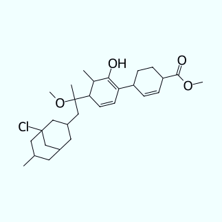 COC(=O)C1C=CC(C2=C(O)C(C)C(C(C)(CC3CC4CC(C)CC(Cl)(C4)C3)OC)C=C2)CC1